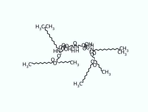 CCCCCCCCCCCC(=O)O[C@H](CCCCCCC)CCOC[C@H](COP(=O)(O)OCCNC(=O)NCCOP(=O)(O)OC[C@@H](COCC[C@@H](CCCCCCC)OC(=O)CCCCCCCCCCC)NC(=O)CCCCCCCCCCCC(C)C)NC(=O)CCCCCCCCCCCC(C)C